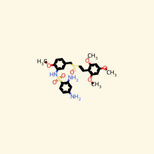 COc1cc(OC)c(C=C[S+]([O-])Cc2ccc(OC)c(NS(=O)(=O)c3ccc(N)cc3N)c2)c(OC)c1